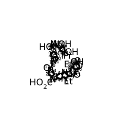 CCc1c2c(nc3ccc(CN(C(=O)O)C4CCN(C(=O)CCn5ccc6cc(-n7c(O)nnc7-c7cc(C(C)C)c(O)cc7O)ccc65)CC4)cc13)-c1cc3c(c(=O)n1C2)COC(=O)C3(O)CC